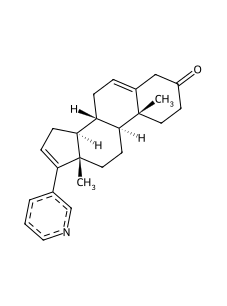 C[C@]12CCC(=O)CC1=CC[C@@H]1[C@@H]2CC[C@]2(C)C(c3cccnc3)=CC[C@@H]12